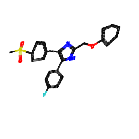 CS(=O)(=O)c1ccc(-c2nc(COc3ccccc3)[nH]c2-c2ccc(F)cc2)cc1